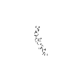 CC(C)(O)CNC(=O)O[C@H]1CC[C@]2(CCN(c3ccc(OC(F)(F)F)cc3)C2=O)CC1